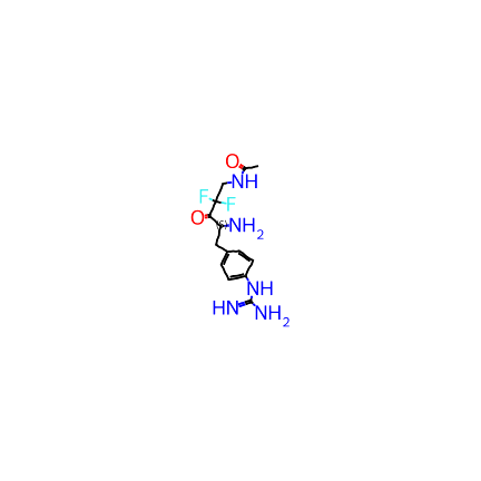 CC(=O)NCC(F)(F)C(=O)[C@@H](N)Cc1ccc(NC(=N)N)cc1